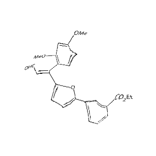 CCOC(=O)c1cccc(-c2ccc(/C(=C/C=O)c3ccc(OC)cc3OC)o2)c1